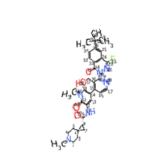 CN1CCC2(CC1)C[C@H]2C(=O)Nc1cc(-c2ccnc(-n3nc(F)c4cc(C(C)(C)C)ccc4c3=O)c2CO)cn(C)c1=O